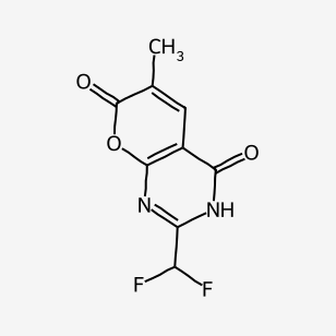 Cc1cc2c(=O)[nH]c(C(F)F)nc2oc1=O